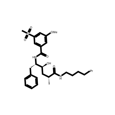 COc1cc(C(=O)N[C@@H](Cc2ccccc2)[C@@H](O)C[C@@H](C)C(=O)NCCCCC(C)C)cc(S(C)(=O)=O)c1